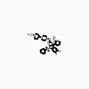 CCOc1ncccc1C1(NC(=O)ON2CCN(C3CCN(C)CC3)CC2)C(=O)N(S(=O)(=O)c2ccccc2)c2cc(F)c(Cl)cc21